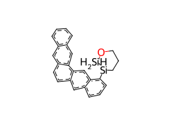 c1ccc2cc3c(ccc4cc5cccc([SiH]6CCCO[SiH2]6)c5cc43)cc2c1